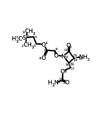 C[Si](C)(C)CCOC(=O)CON1C(=O)[C@@H](N)[C@H]1COC(N)=O